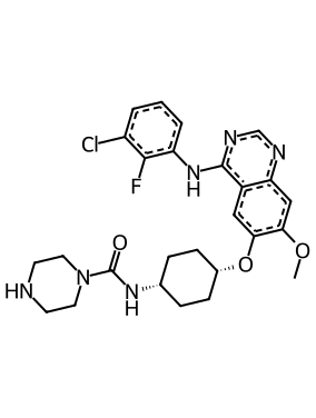 COc1cc2ncnc(Nc3cccc(Cl)c3F)c2cc1O[C@H]1CC[C@@H](NC(=O)N2CCNCC2)CC1